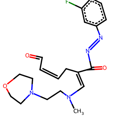 CN(/C=C(\C/C=C\C=O)C(=O)/N=N/c1cccc(F)c1)CCN1CCOCC1